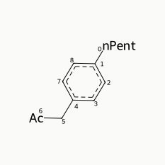 CCCCCc1ccc(CC(C)=O)cc1